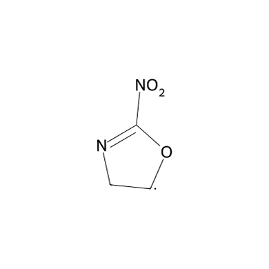 O=[N+]([O-])C1=NC[CH]O1